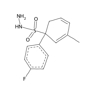 CC1=CC(c2ccc(F)cc2)(S(=O)(=O)NN)CC=C1